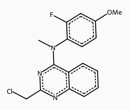 COc1ccc(N(C)c2nc(CCl)nc3ccccc23)c(F)c1